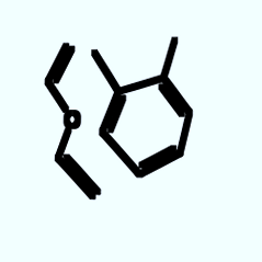 C=COC=C.Cc1ccccc1C